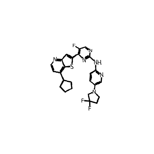 Fc1cnc(Nc2ccc(N3CCC(F)(F)C3)cn2)nc1-c1cc2nccc(C3CCCC3)c2s1